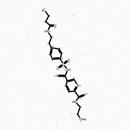 COCCNC(=O)c1ccc(C(=O)NS(=O)(=O)c2ccc(CCNC(=O)CCC(C)C)cc2)cn1